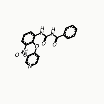 O=C(NC(=O)c1ccccc1)Nc1cccc([N+](=O)[O-])c1Oc1ccncc1